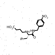 CC(C)C[C@H](NCCCC(=O)O)C(=O)NCc1ccc([N+](=O)[O-])cc1